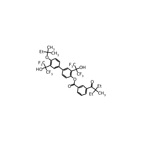 CCC(C)(C)Oc1ccc(-c2ccc(OC(=O)c3cccc(C(=O)C(C)(CC)CC)c3)c(C(O)(C(F)(F)F)C(F)(F)F)c2)cc1C(O)(C(F)(F)F)C(F)(F)F